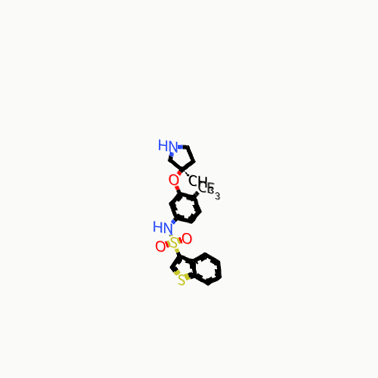 C[C@@]1(Oc2cc(NS(=O)(=O)c3csc4ccccc34)ccc2C(F)(F)F)CCNC1